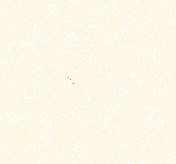 CCNc1ccc([S+]([O-])c2ccccc2)cc1[N+](=O)[O-]